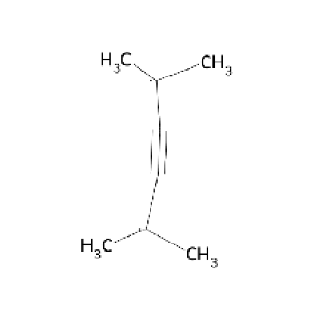 C[C](C)C#C[C](C)C